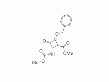 COC(=O)[C@H]1[C@H](NC(=O)OC(C)(C)C)C(=O)N1OCc1ccccc1